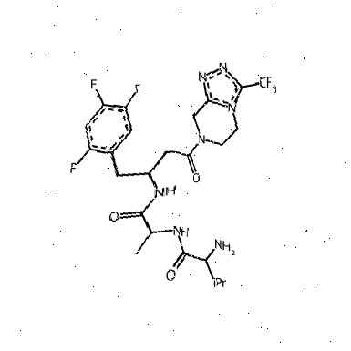 CC(NC(=O)C(N)C(C)C)C(=O)NC(CC(=O)N1CCn2c(nnc2C(F)(F)F)C1)Cc1cc(F)c(F)cc1F